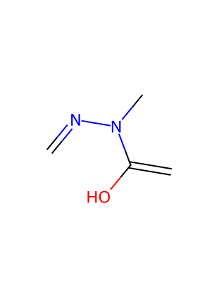 C=NN(C)C(=C)O